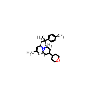 CC(C)=C[C@@H](CC(C)(C)c1ccc(C(F)(F)F)cc1)N1CCC(C2CCOCC2)CC1